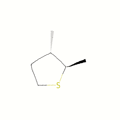 C[C@H]1CCS[C@@H]1C